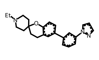 CCN1CCC2(CCc3cc(-c4cccc(-n5cccn5)c4)ccc3O2)CC1